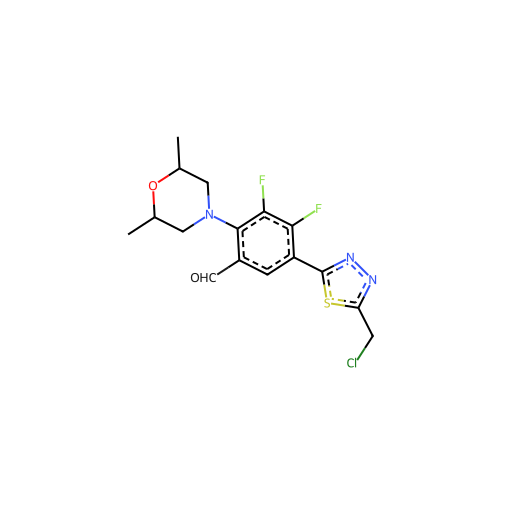 CC1CN(c2c(C=O)cc(-c3nnc(CCl)s3)c(F)c2F)CC(C)O1